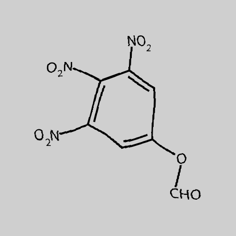 O=COc1cc([N+](=O)[O-])c([N+](=O)[O-])c([N+](=O)[O-])c1